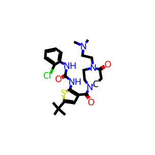 CN(C)CCN1CCN(C(=O)c2cc(C(C)(C)C)sc2NC(=O)Nc2ccccc2Cl)CCC1=O